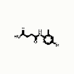 Cc1cc(Br)ccc1NC(=O)CCC(=O)O